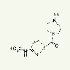 CCN1CCN(C(=O)c2ccc(NC(=O)O)nc2)CC1